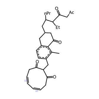 CCCC(CC1CC(=O)c2c(ccc(CC3C(=O)C/C=C\C=C/CC3=O)c2C)C1)C(CC)C(=O)CC(C)=O